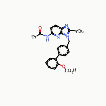 CCCCc1nc2ccc(NC(=O)C(C)C)nc2n1Cc1ccc(-c2ccccc2OC(=O)O)cc1